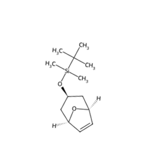 CC(C)(C)[Si](C)(C)O[C@H]1C[C@H]2C=C[C@@H](C1)O2